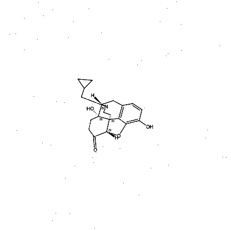 O=C1CC[C@@]2(O)[C@@H]3Cc4ccc(O)c5c4[C@@]2(CCN3CC2CC2)[C@@H]1O5